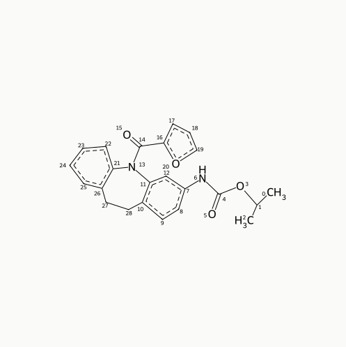 CC(C)OC(=O)Nc1ccc2c(c1)N(C(=O)c1ccco1)c1ccccc1CC2